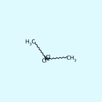 CCCCCCCCCCCCC[Te](Cl)(Cl)CCCCCCCCCCCCC